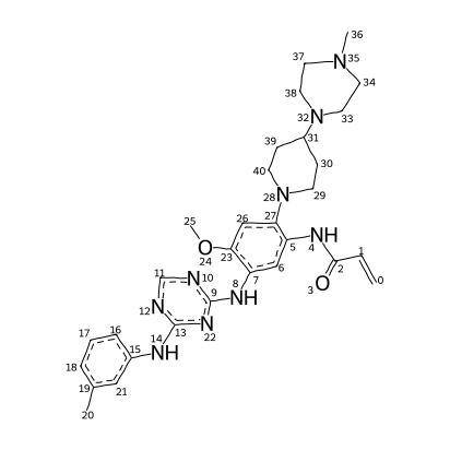 C=CC(=O)Nc1cc(Nc2ncnc(Nc3cccc(C)c3)n2)c(OC)cc1N1CCC(N2CCN(C)CC2)CC1